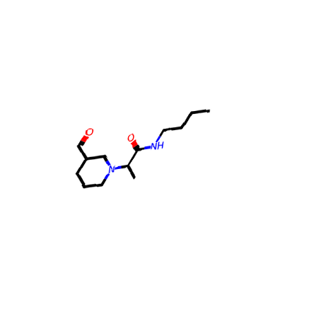 CCCCNC(=O)C(C)N1CCCC(C=O)C1